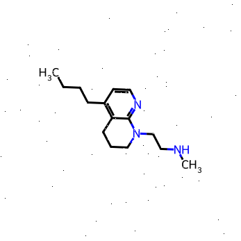 CCCCc1ccnc2c1CCCN2CCNC